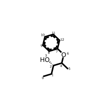 CC[C@H](O)C(C)Oc1ccccc1